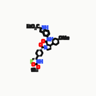 CCOC(=O)c1cc2cc(NC(=O)[C@H]3[C@@H](C4CCC(OC)CC4)CCN3C(=O)[C@H]3CC[C@H]([C@@H](CF)NC(=O)OC(C)(C)C)CC3)ccc2[nH]1